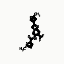 Cn1ccc(C(=O)Nc2cn3cc(C45COC(C)(C4)C5)nc3cc2C(F)F)n1